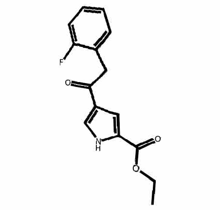 CCOC(=O)c1cc(C(=O)Cc2ccccc2F)c[nH]1